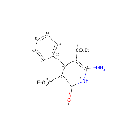 CCOC(=O)C1=C(N)NC(=O)C(C(=O)OCC)C1c1ccccc1